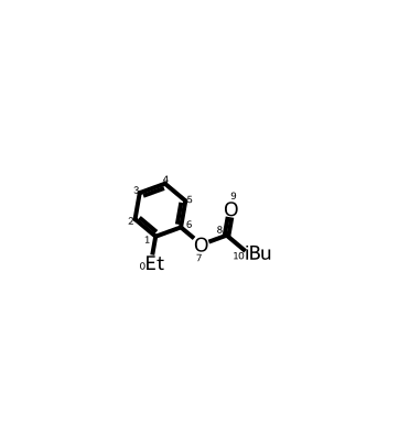 CCc1ccccc1OC(=O)C(C)CC